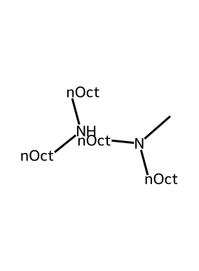 CCCCCCCCN(C)CCCCCCCC.CCCCCCCCNCCCCCCCC